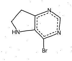 Brc1ncnc2c1NCC2